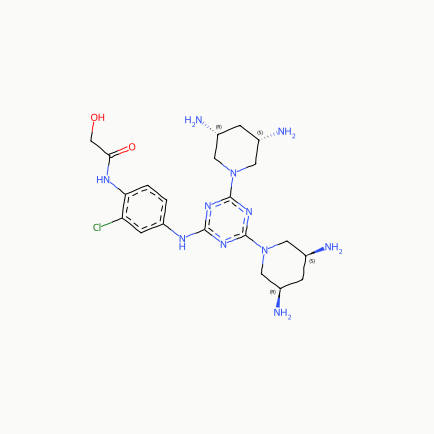 N[C@@H]1C[C@H](N)CN(c2nc(Nc3ccc(NC(=O)CO)c(Cl)c3)nc(N3C[C@H](N)C[C@H](N)C3)n2)C1